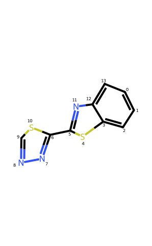 c1ccc2sc(-c3nncs3)nc2c1